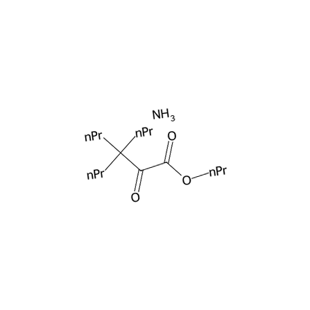 CCCOC(=O)C(=O)C(CCC)(CCC)CCC.N